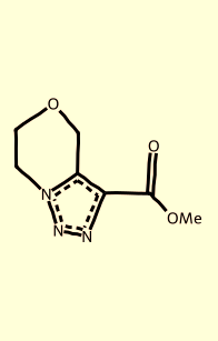 COC(=O)c1nnn2c1COCC2